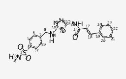 NS(=O)(=O)c1ccc(CNc2nnc(NC(=O)/C=C/c3ccccc3)s2)cc1